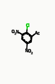 CC(=O)c1cc([N+](=O)[O-])cc([N+](=O)[O-])c1Cl